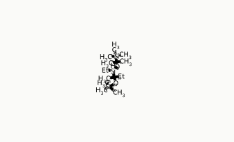 CC[SiH](OC(C)(C)[Si](C)(C)C)C(C)(CC)O[Si](C)(C)C